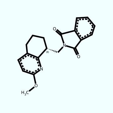 COc1ccc2c(n1)[C@@H](CN1C(=O)c3ccccc3C1=O)CCC2